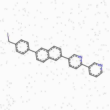 ICc1ccc(-c2ccc3cc(-c4ccc(-c5cccnc5)nc4)ccc3c2)cc1